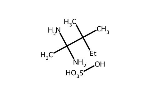 CCC(C)(C)C(C)(N)N.O=S(=O)(O)O